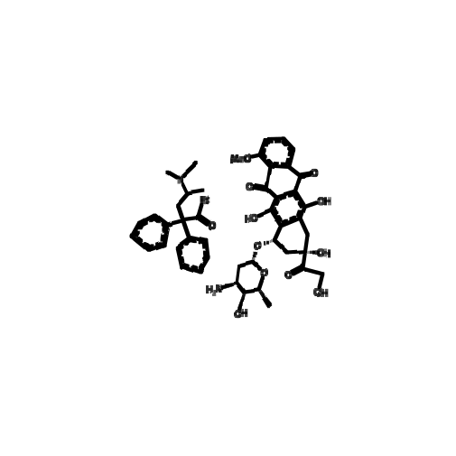 CCC(=O)C(CC(C)N(C)C)(c1ccccc1)c1ccccc1.COc1cccc2c1C(=O)c1c(O)c3c(c(O)c1C2=O)C[C@@](O)(C(=O)CO)C[C@@H]3O[C@H]1C[C@H](N)[C@H](O)[C@H](C)O1